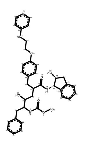 CC(C)(C)OC(=O)NC(Cc1ccccc1)C(O)CC(Cc1ccc(OCCNc2ccncc2)cc1)C(=O)N[C@H]1c2ccccc2C[C@@H]1O